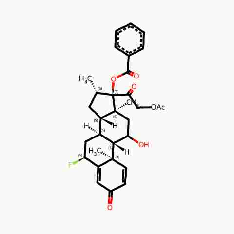 CC(=O)OCC(=O)[C@@]1(OC(=O)c2ccccc2)[C@@H](C)C[C@H]2[C@@H]3C[C@H](F)C4=CC(=O)C=C[C@]4(C)[C@H]3C(O)C[C@@]21C